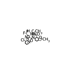 CC(C)NC(=O)c1c(NC(=O)c2cc(C(F)F)nn2-c2ncccc2Cl)ccc2c1OC(C)C2